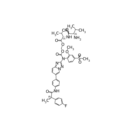 COc1cc(S(C)(=O)=O)ccc1N(C(=O)OCOC(=O)[C@@H](NC(=O)[C@@H](N)C(C)C)C(C)C)c1nc2ccc(-c3ccc(NC(=O)[C@H](C)c4ccc(F)cc4)cc3)cn2n1